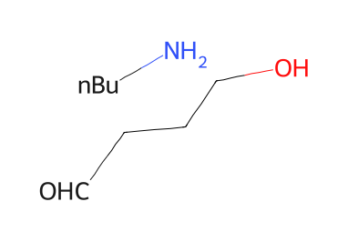 CCCCN.O=CCCCO